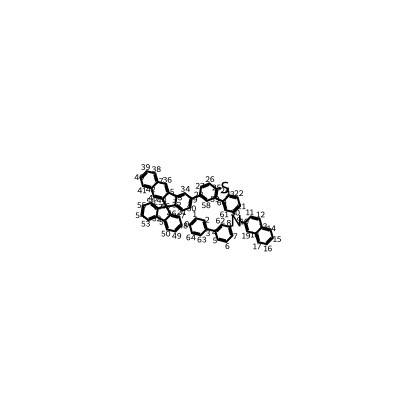 c1ccc(-c2cccc(N(c3ccc4ccccc4c3)c3ccc4sc5ccc(-c6ccc7c(c6)-c6cc8ccccc8cc6C76c7ccccc7-c7ccccc76)cc5c4c3)c2)cc1